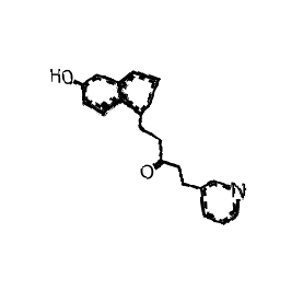 O=C(CCc1cccnc1)CCc1cccc2cc(O)ccc12